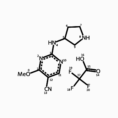 COc1nc(NC2CCNC2)ncc1C#N.O=C(O)C(F)(F)F